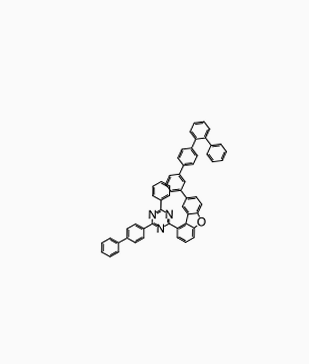 c1ccc(-c2ccc(-c3nc(-c4ccccc4)nc(-c4cccc5oc6ccc(-c7cccc(-c8ccc(-c9ccccc9-c9ccccc9)cc8)c7)cc6c45)n3)cc2)cc1